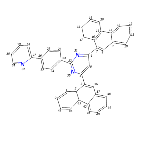 C1=CC2C(c3cc(-c4cc5ccccc5c5c4CCC=C5)nc(-c4ccc(-c5ccccn5)cc4)n3)=Cc3ccccc3C2C=C1